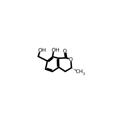 C[C@@H]1Cc2ccc(CO)c(O)c2C(=O)O1